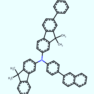 CC1(C)c2ccccc2-c2cc(N(c3ccc(-c4ccc5ccccc5c4)cc3)c3ccc4c(c3)C(C)(C)c3cc(-c5ccccc5)ccc3-4)ccc21